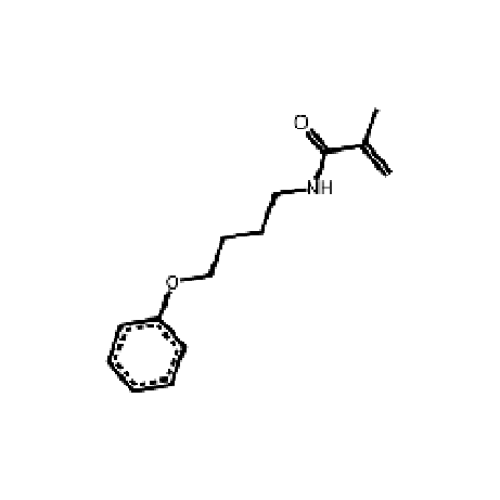 C=C(C)C(=O)NCCCCOc1ccccc1